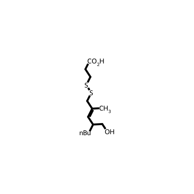 CCCCC(/C=C(\C)CSSCCC(=O)O)CO